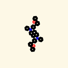 c1ccc(N(c2ccc(-c3cccc4c3oc3ccccc34)cc2)c2ccc3ccc4c(N(c5ccccc5)c5ccc(-c6cccc7c6oc6ccccc67)cc5)ccc5ccc2c3c54)cc1